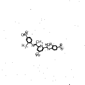 C/C(=N\c1ccc([N+](=O)[O-])cc1C)c1cccc(/C(C)=N/c2ccc([N+](=O)[O-])cc2C)n1.[Cl-].[Fe]